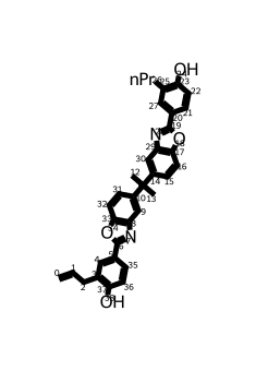 C=CCc1cc(-c2nc3cc(C(C)(C)c4ccc5oc(-c6ccc(O)c(CCC)c6)nc5c4)ccc3o2)ccc1O